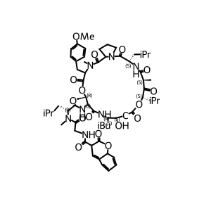 CC[C@H](C)[C@H]1NC(=O)[C@@H](NC(=O)[C@@H](CC(C)C)N(C)C(=O)CNC(=O)C2C=C3C=CC=CC3OC2=O)[C@@H](C)OC(=O)C(Cc2ccc(OC)cc2)N(C)C(=O)C2CCCN2C(=O)[C@H](CC(C)C)NC(=O)[C@@H](C)C(=O)[C@H](C(C)C)OC(=O)C[C@@H]1O